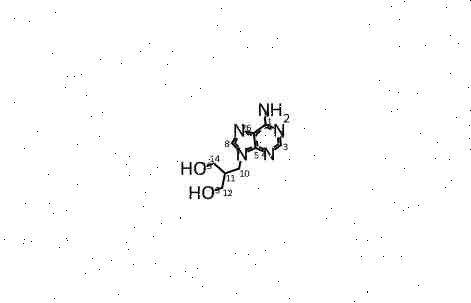 Nc1ncnc2c1ncn2CC(CO)CO